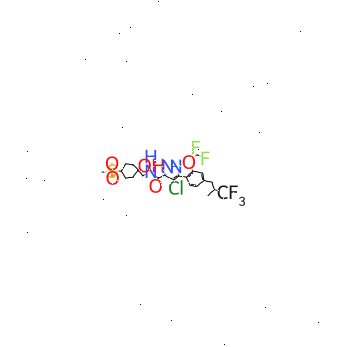 CC(Cc1ccc(-c2c(Cl)c(C(=O)NCC3(O)CCC(S(C)(=O)=O)CC3)nn2C)c(OC(F)F)c1)C(F)(F)F